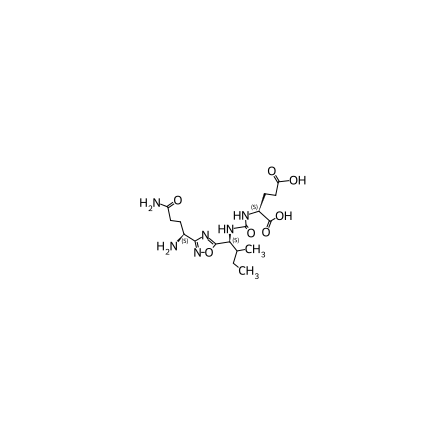 CCC(C)[C@H](NC(=O)N[C@@H](CCC(=O)O)C(=O)O)c1nc([C@@H](N)CCC(N)=O)no1